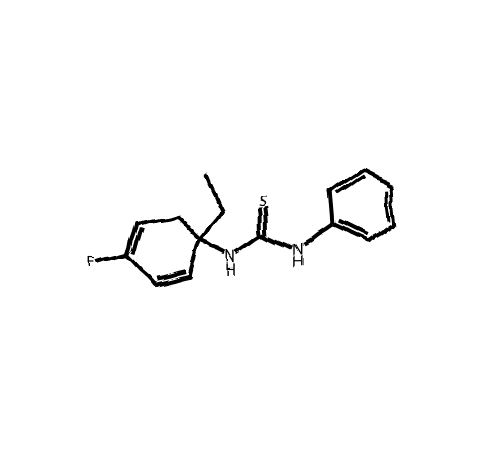 CCC1(NC(=S)Nc2ccccc2)C=CC(F)=CC1